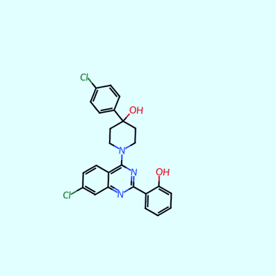 Oc1ccccc1-c1nc(N2CCC(O)(c3ccc(Cl)cc3)CC2)c2ccc(Cl)cc2n1